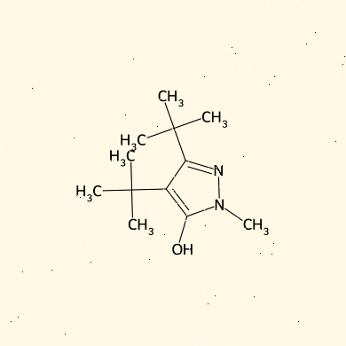 Cn1nc(C(C)(C)C)c(C(C)(C)C)c1O